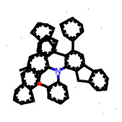 Cc1cc2c(c(N(c3ccccc3-c3cccc4ccccc34)c3c4c(cc(-c5ccccc5)c3-c3ccccc3)-c3ccccc3C4)c1C)Cc1ccccc1-2